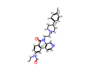 CCN(C=O)c1ccc(C(=O)N(CCN2CCC(c3ccc(F)cc3)CC2)c2cccnc2)cc1